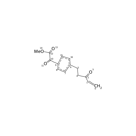 C=CC(=O)CCc1ccc(C(=O)C(=O)OC)cc1